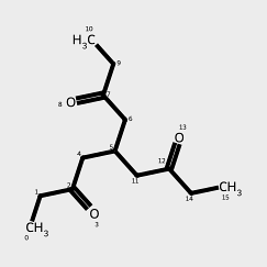 CCC(=O)CC(CC(=O)CC)CC(=O)CC